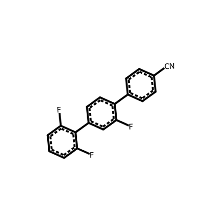 N#Cc1ccc(-c2ccc(-c3c(F)cccc3F)cc2F)cc1